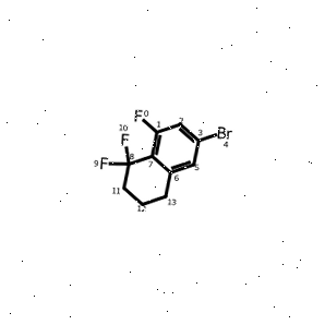 Fc1cc(Br)cc2c1C(F)(F)CCC2